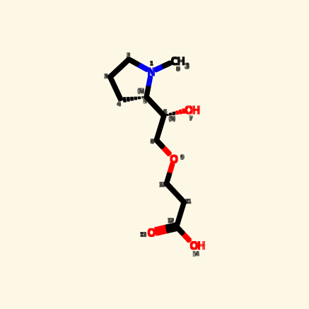 CN1CCC[C@H]1[C@H](O)COCCC(=O)O